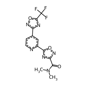 CN(C)C(=O)c1noc(-c2cc(-c3noc(C(F)(F)F)n3)ccn2)n1